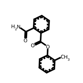 Cc1ccccc1OC(=O)c1ccccc1C(N)=O